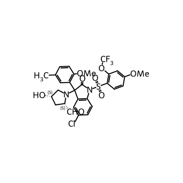 COc1ccc(S(=O)(=O)N2C(=O)C(c3cc(C)ccc3OC)(N3C[C@@H](O)C[C@H]3C=O)c3cc(Cl)ccc32)c(OC(F)(F)F)c1